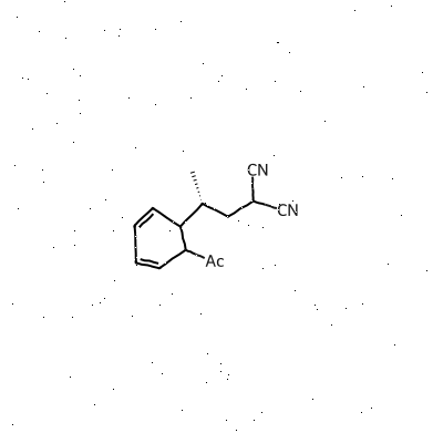 CC(=O)C1C=CC=CC1[C@H](C)CC(C#N)C#N